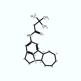 CC(C)(C)CC(=O)Nc1cc2c3c(c1)C1CCCCCC1N3CC2